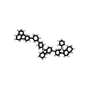 c1ccc(-n2c3cc(-c4ccc5c(c4)c4ccccc4n5-c4ccc(-c5cccc(-c6ccc7c(c6)-c6cccc8cccc-7c68)c5)cc4)ccc3c3ccc4ccccc4c32)cc1